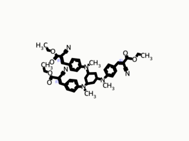 CCOC(=O)/C(C#N)=C/c1ccc(N(C)C2CC(N(C)c3ccc(/C=C(\C#N)C(=O)OCC)cc3)CC(N(C)c3ccc(/C=C(\C#N)C(=O)OCC)cc3)C2)cc1